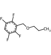 CCCOCc1c(F)c(F)cc(F)c1F